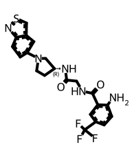 Nc1ccc(C(F)(F)F)cc1C(=O)NCC(=O)N[C@@H]1CCN(c2ccc3nscc3c2)C1